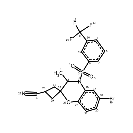 CC1N(S(=O)(=O)c2cccc(C(F)(F)F)c2)c2cc(Br)ccc2OC12CC(C#N)C2